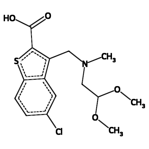 COC(CN(C)Cc1c(C(=O)O)sc2ccc(Cl)cc12)OC